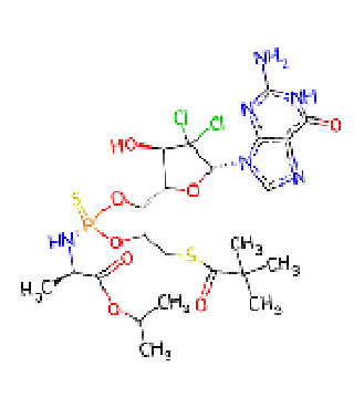 CC(C)OC(=O)[C@@H](C)N[P@@](=S)(OCCSC(=O)C(C)(C)C)OC[C@H]1O[C@@H](n2cnc3c(=O)[nH]c(N)nc32)C(Cl)(Cl)[C@@H]1O